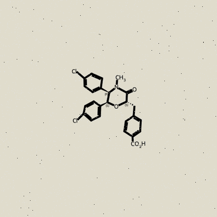 CN1C(=O)[C@H](Cc2ccc(C(=O)O)cc2)O[C@@H](c2ccc(Cl)cc2)[C@H]1c1ccc(Cl)cc1